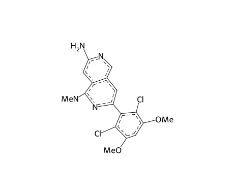 CNc1nc(-c2c(Cl)c(OC)cc(OC)c2Cl)cc2cnc(N)cc12